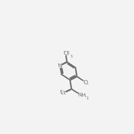 CCC(N)c1cnc(C(F)(F)F)cc1Cl